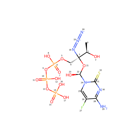 C[C@@H](O)[C@](COP(=O)(O)OP(=O)(O)OP(=O)(O)O)(N=[N+]=[N-])O[C@H](O)n1cc(F)c(N)nc1=S